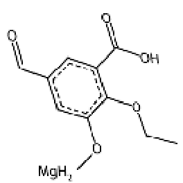 CCOc1c(OC)cc(C=O)cc1C(=O)O.[MgH2]